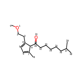 COCCC1=CC=C(C)C1C(=O)CCCCCC(C)C